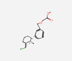 COC(=O)COCc1cccc([C@H]2CCC/C(=C\Br)[C@@H]2C)c1